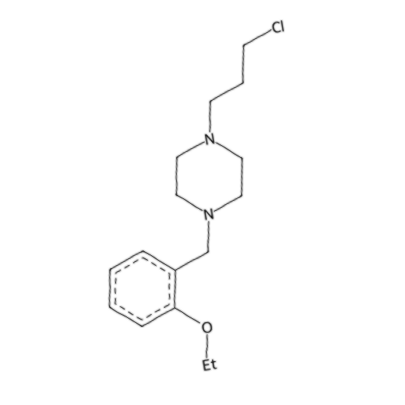 CCOc1ccccc1CN1CCN(CCCCl)CC1